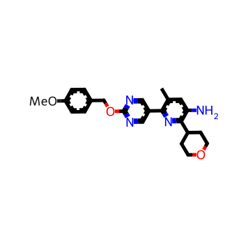 COc1ccc(COc2ncc(-c3nc(C4CCOCC4)c(N)cc3C)cn2)cc1